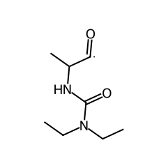 CCN(CC)C(=O)NC(C)[C]=O